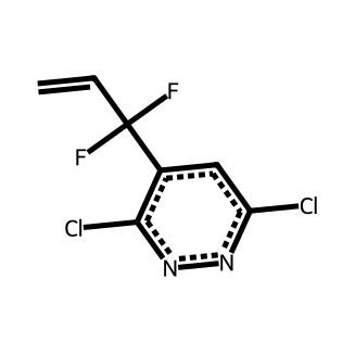 C=CC(F)(F)c1cc(Cl)nnc1Cl